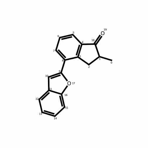 CC1Cc2c(cccc2-c2cc3ccccc3o2)C1=O